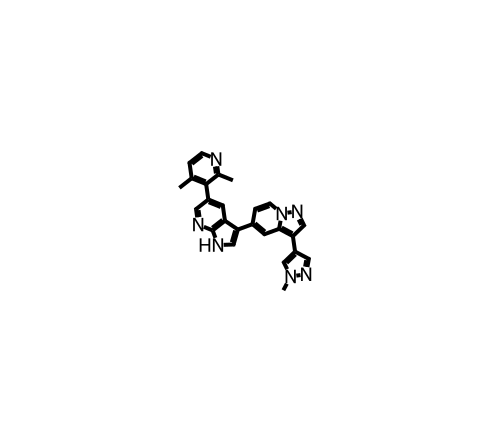 Cc1ccnc(C)c1-c1cnc2[nH]cc(-c3ccn4ncc(-c5cnn(C)c5)c4c3)c2c1